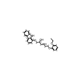 CCOc1ccccc1OCCNCC(O)COc1cccc2c1[nH]c1ccccc12